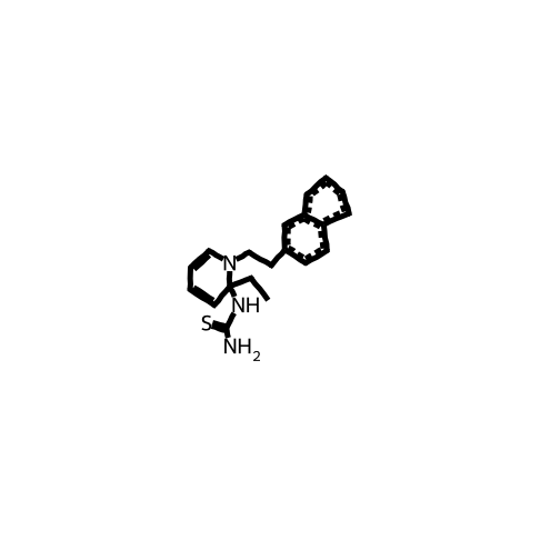 CCC1(NC(N)=S)C=CC=CN1CCc1ccc2ccccc2c1